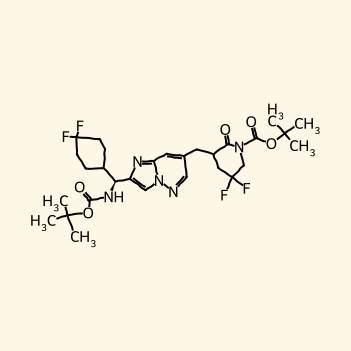 CC(C)(C)OC(=O)N[C@H](c1cn2ncc(CC3CC(F)(F)CN(C(=O)OC(C)(C)C)C3=O)cc2n1)C1CCC(F)(F)CC1